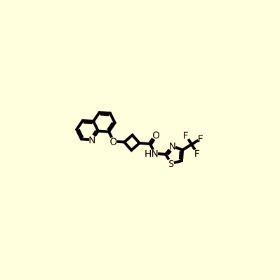 O=C(Nc1nc(C(F)(F)F)cs1)C1CC(Oc2cccc3cccnc23)C1